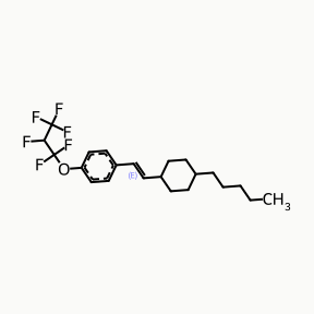 CCCCCC1CCC(/C=C/c2ccc(OC(F)(F)C(F)C(F)(F)F)cc2)CC1